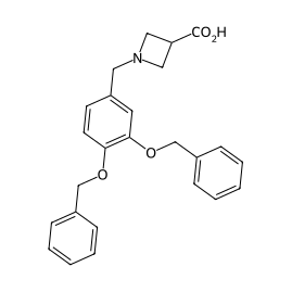 O=C(O)C1CN(Cc2ccc(OCc3ccccc3)c(OCc3ccccc3)c2)C1